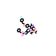 Cc1nc(C)c([C@H](OC(C)(C)C)C(=O)OC(C)C)c(N2CCC3(CCN(C(=O)OCc4ccccc4)C3)CC2)c1-c1ccc(OCCc2ccc(F)cc2)cc1